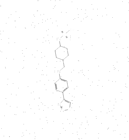 CC(C)S(=O)(=O)NC1CCC(CNc2ccc(-c3csnn3)cc2)CC1